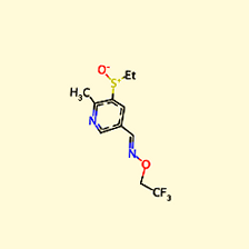 CC[S+]([O-])c1cc(/C=N/OCC(F)(F)F)cnc1C